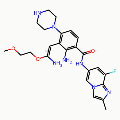 COCCO/C(N)=C/c1c(N2CCNCC2)ccc(C(=O)Nc2cc(F)c3nc(C)cn3c2)c1N